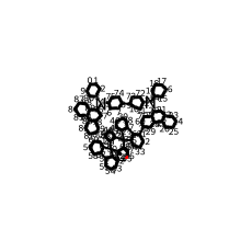 c1ccc(N(c2ccc(-c3ccc(N(c4ccccc4)c4cc5ccccc5c5cc(-c6cccc7c6-c6ccccc6C76c7ccccc7C7(c8ccccc8-c8ccccc87)c7ccccc76)ccc45)cc3)cc2)c2cc3ccccc3c3ccccc23)cc1